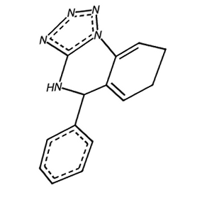 C1=C2C(=CCC1)n1nnnc1NC2c1ccccc1